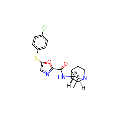 C[C@H]1[C@H](NC(=O)c2ncc(Sc3ccc(Cl)cc3)o2)C2CCN1CC2